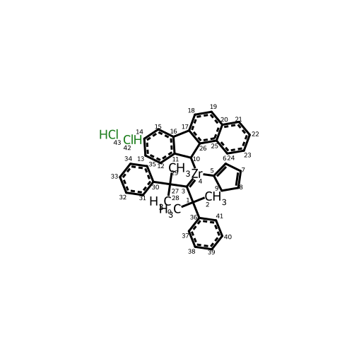 CC(C)([C](=[Zr]([C]1=CC=CC1)[CH]1c2ccccc2-c2ccc3ccccc3c21)C(C)(C)c1ccccc1)c1ccccc1.Cl.Cl